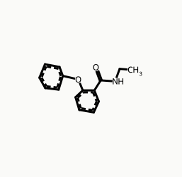 CCNC(=O)c1ccccc1Oc1ccccc1